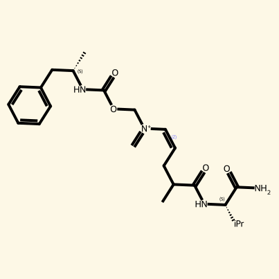 C=[N+](/C=C\CC(C)C(=O)N[C@H](C(N)=O)C(C)C)COC(=O)N[C@@H](C)Cc1ccccc1